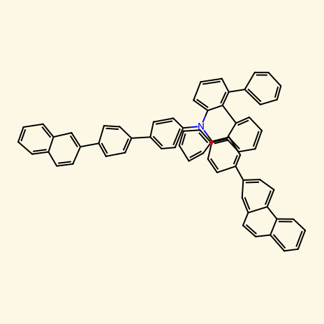 c1ccc(-c2ccccc2-c2c(-c3ccccc3)cccc2N(c2ccc(-c3ccc(-c4ccc5ccccc5c4)cc3)cc2)c2ccc(-c3ccc4c(ccc5ccccc54)c3)cc2)cc1